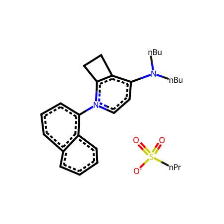 CCCCN(CCCC)c1cc[n+](-c2cccc3ccccc23)c2c1CC2.CCCS(=O)(=O)[O-]